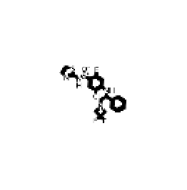 [O-][S+](Nc1nccs1)c1cc(Cl)c(NC(CN2CC(F)(F)C2)c2ccccc2)cc1F